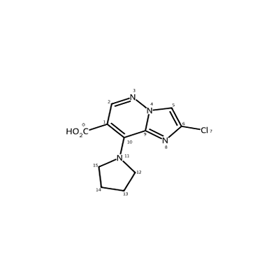 O=C(O)c1cnn2cc(Cl)nc2c1N1CCCC1